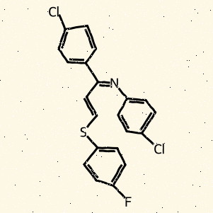 Fc1ccc(SC=CC(=Nc2ccc(Cl)cc2)c2ccc(Cl)cc2)cc1